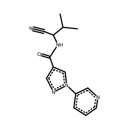 CC(C)C(C#N)NC(=O)c1cnn(-c2cccnc2)c1